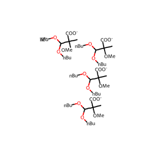 CCCCOC(OCCCC)C(C)(OC)C(=O)[O-].CCCCOC(OCCCC)C(C)(OC)C(=O)[O-].CCCCOC(OCCCC)C(C)(OC)C(=O)[O-].CCCCOC(OCCCC)C(C)(OC)C(=O)[O-].[Ti+4]